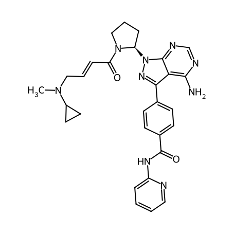 CN(CC=CC(=O)N1CCC[C@H]1n1nc(-c2ccc(C(=O)Nc3ccccn3)cc2)c2c(N)ncnc21)C1CC1